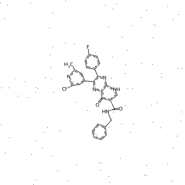 Cc1cc(-c2nc3c(=O)c(C(=O)NCc4ccccc4)c[nH]c3nc2-c2ccc(F)cc2)cc(Cl)n1